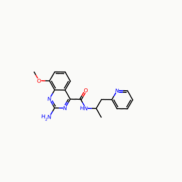 COc1cccc2c(C(=O)NC(C)Cc3ccccn3)nc(N)nc12